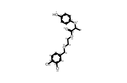 CC(Oc1ccc(O)cc1)C(=O)OCCOCc1ccc(Cl)c(Cl)c1